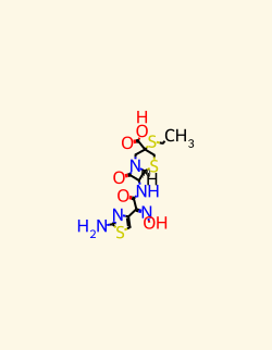 CCSC1(C(=O)O)CS[C@@H]2C(NC(=O)C(=NO)c3csc(N)n3)C(=O)N2C1